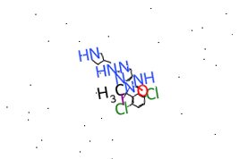 C[C@@](I)(c1cc(Cl)ccc1Cl)n1c(=O)[nH]c2cnc(NCC3CCNC3)nc21